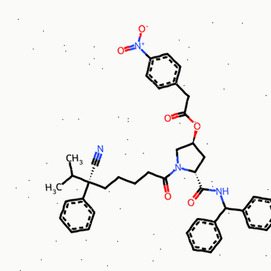 CC(C)[C@@](C#N)(CCCCC(=O)N1C[C@@H](OC(=O)Cc2ccc([N+](=O)[O-])cc2)C[C@@H]1C(=O)NC(c1ccccc1)c1ccccc1)c1ccccc1